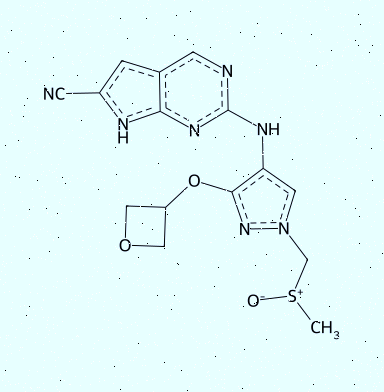 C[S+]([O-])Cn1cc(Nc2ncc3cc(C#N)[nH]c3n2)c(OC2COC2)n1